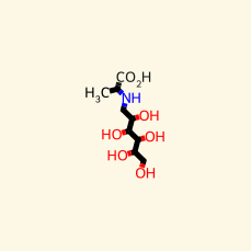 CC(NCC(O)C(O)C(O)C(O)CO)C(=O)O